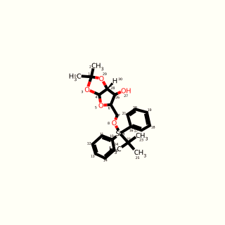 CC1(C)OC2OC(CO[Si](c3ccccc3)(c3ccccc3)C(C)(C)C)C(O)[C@H]2O1